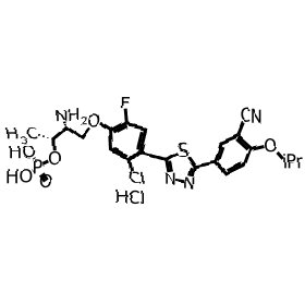 CC(C)Oc1ccc(-c2nnc(-c3cc(F)c(OC[C@@H](N)[C@@H](C)OP(=O)(O)O)cc3Cl)s2)cc1C#N.Cl